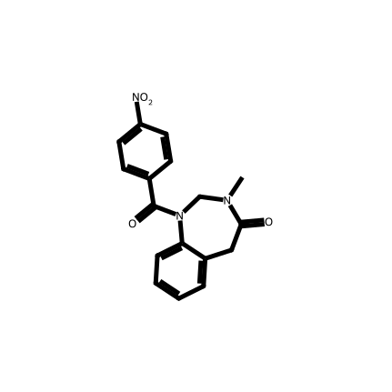 CN1CN(C(=O)c2ccc([N+](=O)[O-])cc2)c2ccccc2CC1=O